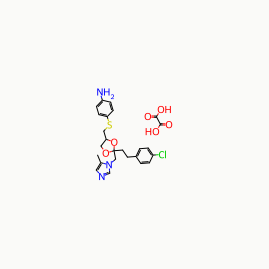 Cc1cncn1CC1(CCc2ccc(Cl)cc2)OCC(CSc2ccc(N)cc2)O1.O=C(O)C(=O)O